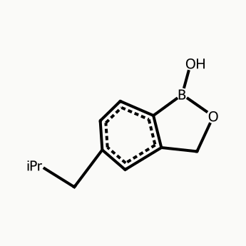 CC(C)Cc1ccc2c(c1)COB2O